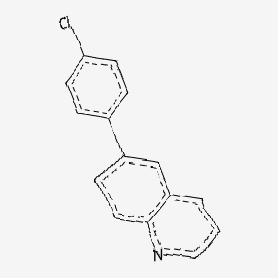 Clc1ccc(-c2ccc3ncccc3c2)cc1